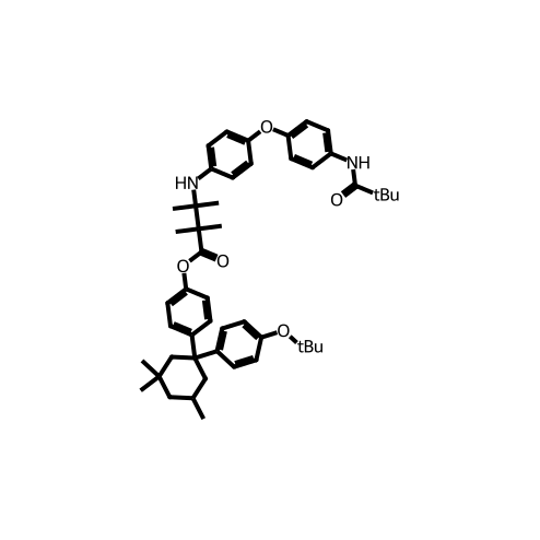 CC1CC(C)(C)CC(c2ccc(OC(=O)C(C)(C)C(C)(C)Nc3ccc(Oc4ccc(NC(=O)C(C)(C)C)cc4)cc3)cc2)(c2ccc(OC(C)(C)C)cc2)C1